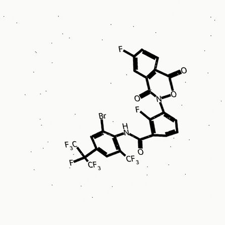 O=C(Nc1c(Br)cc(C(F)(C(F)(F)F)C(F)(F)F)cc1C(F)(F)F)c1cccc(-n2oc(=O)c3ccc(F)cc3c2=O)c1F